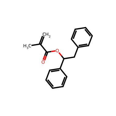 C=C(C)C(=O)OC(Cc1ccccc1)c1ccccc1